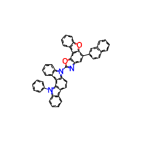 c1ccc(-n2c3ccccc3c3ccc4c(c5ccccc5n4-c4nc5cc(-c6ccc7ccccc7c6)c6oc7ccccc7c6c5o4)c32)cc1